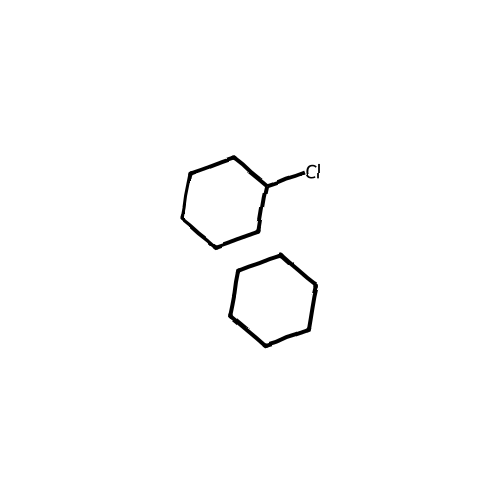 C1CCCCC1.ClC1CCCCC1